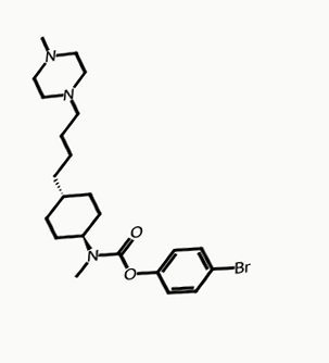 CN1CCN(CCCC[C@H]2CC[C@H](N(C)C(=O)Oc3ccc(Br)cc3)CC2)CC1